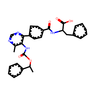 Cc1ncnc(-c2ccc(C(=O)NC(Cc3ccccc3)C(=O)O)cc2)c1NC(=O)OC(C)c1ccccc1